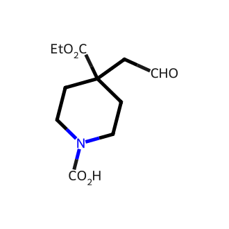 CCOC(=O)C1(CC=O)CCN(C(=O)O)CC1